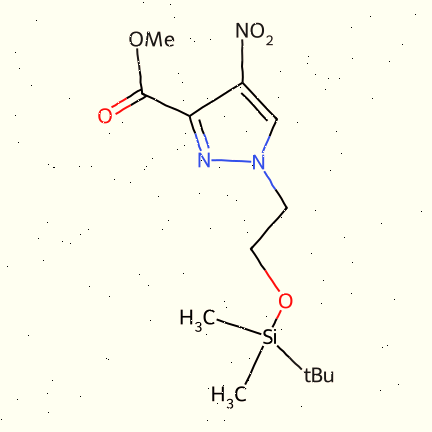 COC(=O)c1nn(CCO[Si](C)(C)C(C)(C)C)cc1[N+](=O)[O-]